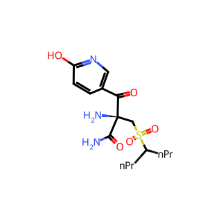 CCCC(CCC)S(=O)(=O)C[C@](N)(C(N)=O)C(=O)c1ccc(O)nc1